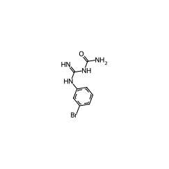 N=C(NC(N)=O)Nc1cccc(Br)c1